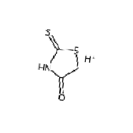 O=C1CSC(=S)N1.[H+]